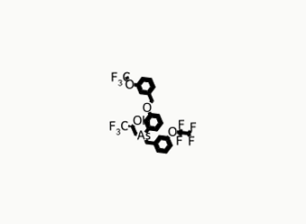 O[C@@H](C[As](Cc1cccc(OC(F)(F)C(F)F)c1)c1cccc(OCc2cccc(OC(F)(F)F)c2)c1)C(F)(F)F